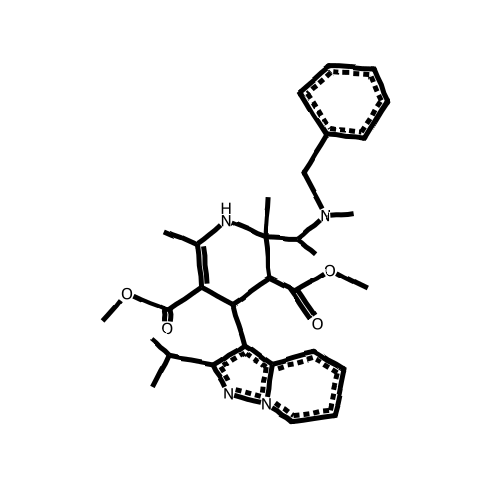 COC(=O)C1=C(C)NC(C)(C(C)N(C)Cc2ccccc2)C(C(=O)OC)C1c1c(C(C)C)nn2ccccc12